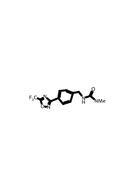 CNC(=O)NCc1ccc(-c2noc(C(F)(F)F)n2)cc1